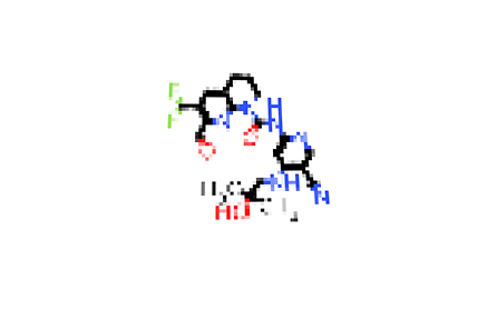 CC(C)(O)CNc1cc(NC(=O)N2CCCc3cc(C(F)F)c(C=O)nc32)ncc1C#N